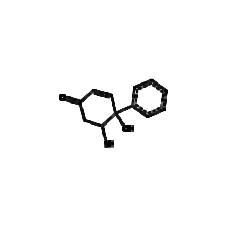 O=C1C=CC(O)(c2ccccc2)C(S)C1